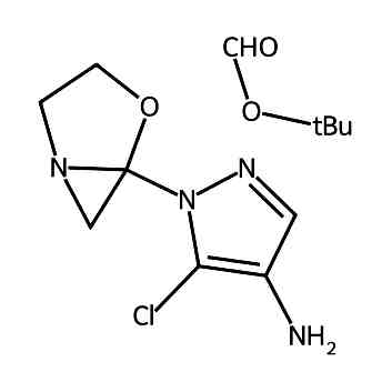 CC(C)(C)OC=O.Nc1cnn(C23CN2CCO3)c1Cl